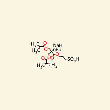 C=C(C)C(=O)OCC(CCCC)(COC(=O)C(=C)C)C(=O)OCCCS(=O)(=O)O.[NaH]